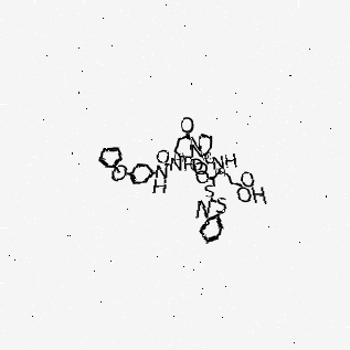 O=C(O)CC[C@H](NC(=O)[C@@H]1CCCN2C(=O)CC[C@H](NC(=O)Nc3ccc(Oc4ccccc4)cc3)C(=O)N12)C(=O)CSc1nc2ccccc2s1